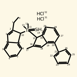 CCC1=Cc2ccccc2[CH]1[Ti]([CH3])([CH3])(=[SiH2])[CH]1C(C)=Cc2c(-c3ccccc3)cccc21.Cl.Cl